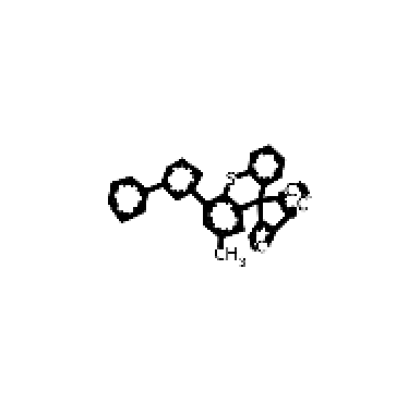 Cc1cc(-c2cccc(-c3ccccc3)c2)c2c(c1)C1(c3ccccc3S2)c2ccccc2-c2ccccc21